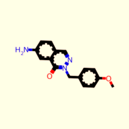 COc1ccc(Cn2ncc3ccc(N)cc3c2=O)cc1